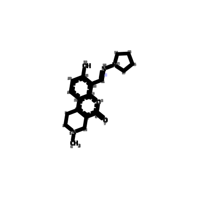 CN1CCc2c(c(=O)oc3c(/C=N/N4CCCC4)c(O)ccc23)C1